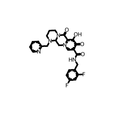 O=C(NCc1ccc(F)cc1F)c1cn2c(c(O)c1=O)C(=O)N1CCCN(Cc3ccccn3)C1C2